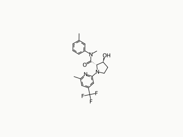 Cc1cccc(N(C)C(=O)[C@@H]2[C@@H](O)CCN2c2cc(C(F)(F)F)cc(C)n2)c1